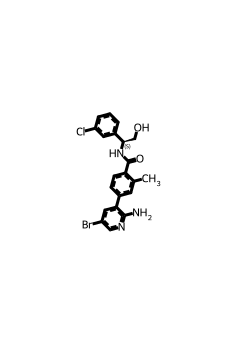 Cc1cc(-c2cc(Br)cnc2N)ccc1C(=O)N[C@H](CO)c1cccc(Cl)c1